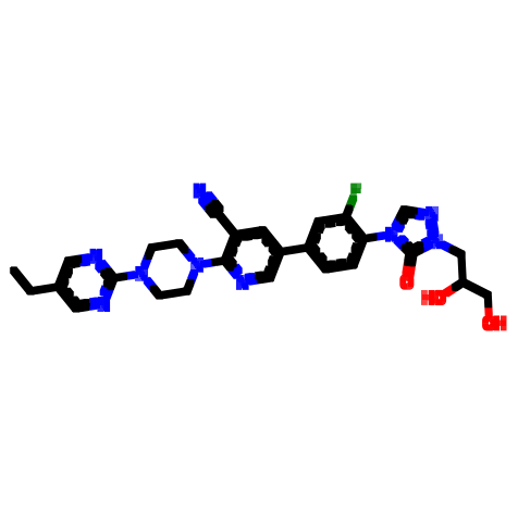 CCc1cnc(N2CCN(c3ncc(-c4ccc(-n5cnn(CC(O)CO)c5=O)c(F)c4)cc3C#N)CC2)nc1